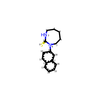 S=C1NCCCCCN1c1ccc2ccccc2c1